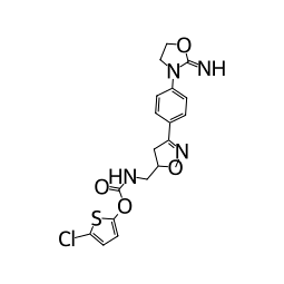 N=C1OCCN1c1ccc(C2=NOC(CNC(=O)Oc3ccc(Cl)s3)C2)cc1